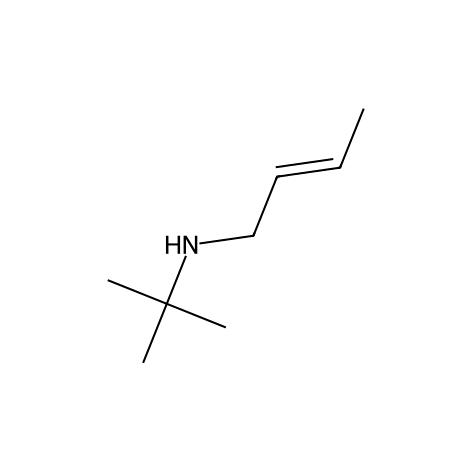 CC=CCNC(C)(C)C